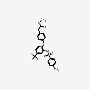 COC(=O)Cc1ccc(Oc2ccc(C(F)(F)F)cc2NS(=O)(=O)c2ccc(C)cc2)cc1